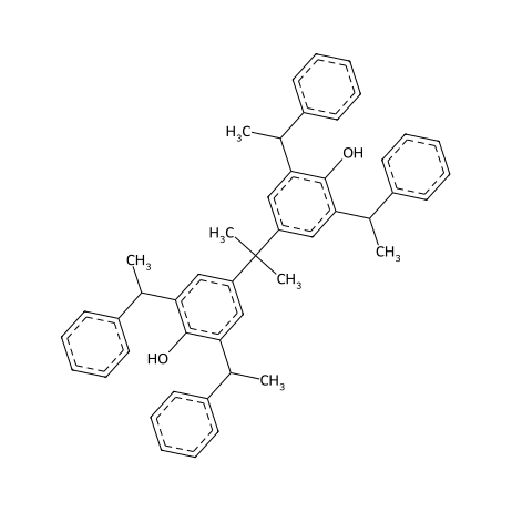 CC(c1ccccc1)c1cc(C(C)(C)c2cc(C(C)c3ccccc3)c(O)c(C(C)c3ccccc3)c2)cc(C(C)c2ccccc2)c1O